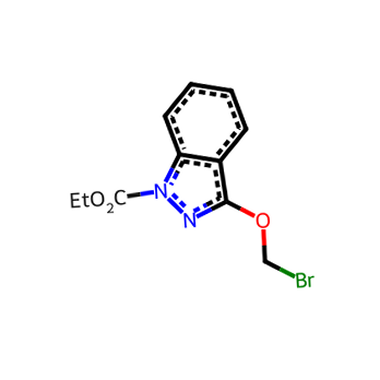 CCOC(=O)n1nc(OCBr)c2ccccc21